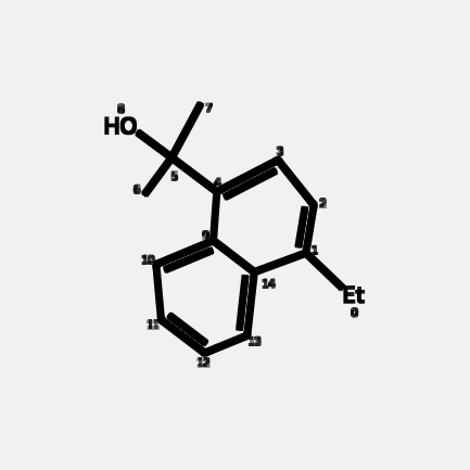 CCc1ccc(C(C)(C)O)c2ccccc12